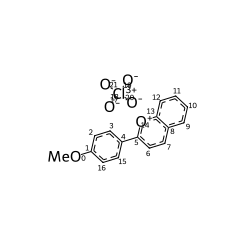 COc1ccc(-c2ccc3ccccc3[o+]2)cc1.[O-][Cl+3]([O-])([O-])[O-]